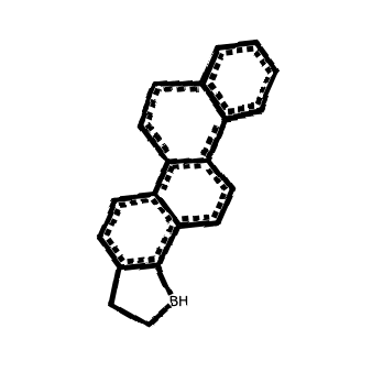 B1CCc2ccc3c(ccc4c5ccccc5ccc34)c21